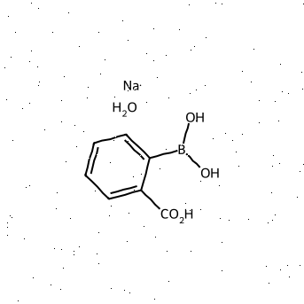 O.O=C(O)c1ccccc1B(O)O.[Na]